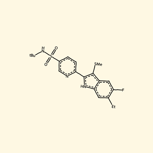 CCc1cc2[nH]c(-c3ccc(S(=O)(=O)NC(C)(C)C)cn3)c(SC)c2cc1F